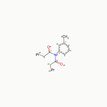 Cc1cccc(N(C(=O)CC(C)C)C(=O)CC(C)C)c1